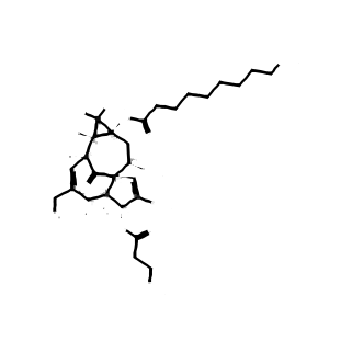 CCCCCCCCCC(=O)O[C@@]12C[C@@H](C)[C@]34C=C(C)[C@H](OC(=O)CCC)[C@@]3(O)[C@H](O)C(CO)=C[C@H](C4=O)[C@@H]1C2(C)C